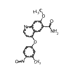 COc1cc2nccc(Oc3ccc(N=O)c(C)c3)c2cc1C(N)=O